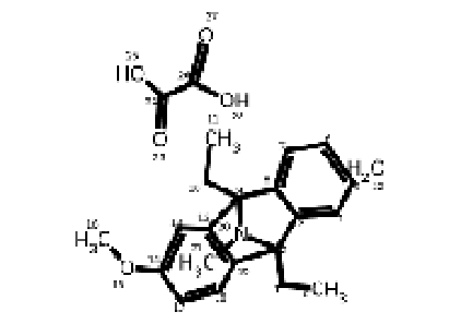 CCC12c3ccccc3C(CC)(c3cc(OC)ccc31)N2C.O.O=C(O)C(=O)O